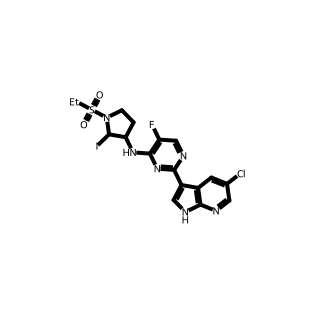 CCS(=O)(=O)N1CCC(Nc2nc(-c3c[nH]c4ncc(Cl)cc34)ncc2F)C1I